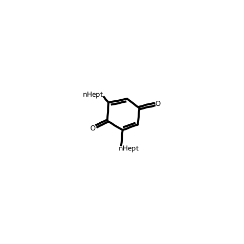 CCCCCCCC1=CC(=O)C=C(CCCCCCC)C1=O